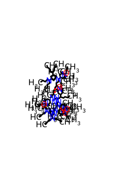 C#CC#CN(C#CC#C)c1nc(N(C#CC#C)CCCC)nc(N(C2CC(C)(C)N(OCCC)C(C)(C)C2)C(C)N(c2nc(C(CCCC)C3CC(C)(C)N(OCCC)C(C)(C)C3)nc(N(C(C)CCCCCCCN(c3cc(C(CCCC)CCCC)cc(N(CCCC)CCCC)c3)C3CC(C)(C)N(OCCC)C(C)(C)C3)C3CC(C)(C)N(OCCC)C(C)(C)C3)n2)C2CC(C)(C)N(OCCC)C(C)(C)C2)n1